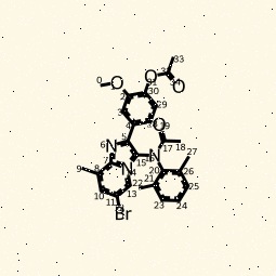 COc1cc(-c2nc3c(C)cc(Br)cn3c2N(C(C)=O)c2c(C)cccc2C)ccc1OC(C)=O